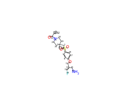 CC1(CS(=O)(=O)c2ccc(OCC(=CF)CN)cc2)CCN(C(=O)C(C)(C)C)CC1